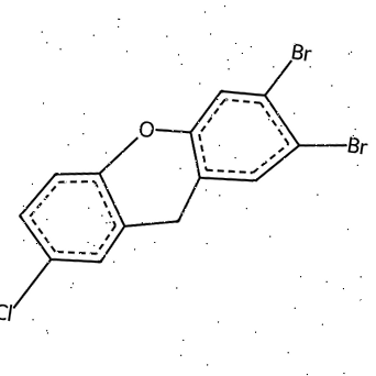 Clc1ccc2c(c1)Cc1cc(Br)c(Br)cc1O2